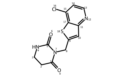 O=C1CCNC(=O)N1Cc1cc2nccc(Cl)c2s1